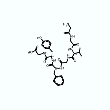 CC(C)[C@H](NC(=O)CNC(=O)CN)C(=O)NCC(=O)N[C@@H](Cc1ccccc1)C(=O)N[C@@H](Cc1ccc(O)cc1)C(=O)NCC(=O)O